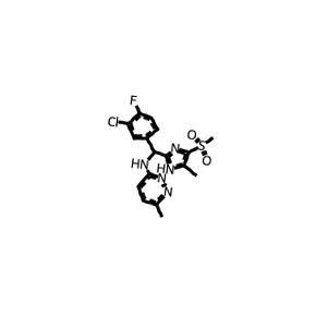 Cc1ccc(NC(c2ccc(F)c(Cl)c2)c2nc(S(C)(=O)=O)c(C)[nH]2)nn1